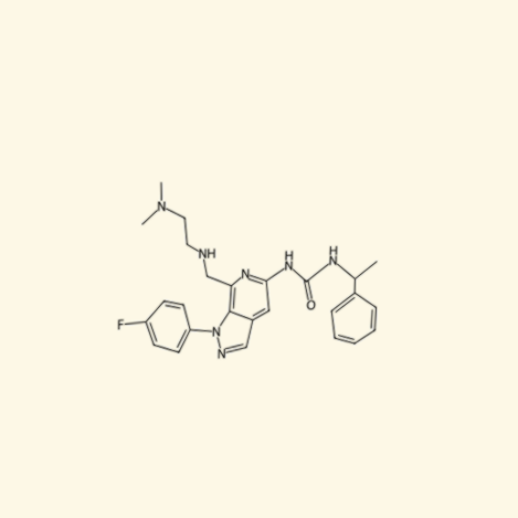 CC(NC(=O)Nc1cc2cnn(-c3ccc(F)cc3)c2c(CNCCN(C)C)n1)c1ccccc1